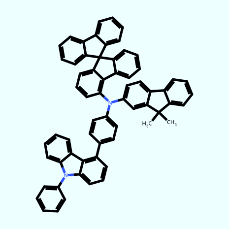 CC1(C)c2ccccc2-c2ccc(N(c3ccc(-c4cccc5c4c4ccccc4n5-c4ccccc4)cc3)c3cccc4c3-c3ccccc3C43c4ccccc4-c4ccccc43)cc21